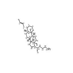 CC=CC[C@@H]1CCC[C@@]2(C)[C@H]1CC[C@@H]1[C@@H]2CC[C@]2(C)[C@@H]([C@H](C)CCCC(C)C)CC[C@@H]12